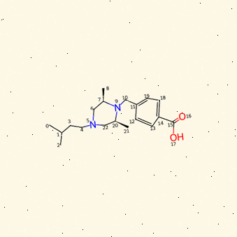 CC(C)CCN1C[C@@H](C)N(Cc2ccc(C(=O)O)cc2)[C@@H](C)C1